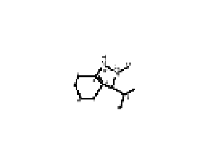 CC(C)C1C2=C(CCCC2)NN1C